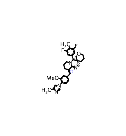 COc1cc(/C=C2\CCCN3C2=NOC2(CCCOC2)[C@@H]3c2cc(F)c(C)c(F)c2)ccc1-n1cnc(C)c1